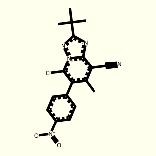 Cc1c(-c2ccc([N+](=O)[O-])cc2)c(Cl)n2nc(C(C)(C)C)nc2c1C#N